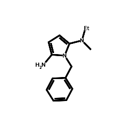 CCN(C)c1ccc(N)n1Cc1ccccc1